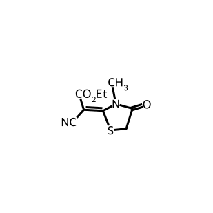 CCOC(=O)C(C#N)=C1SCC(=O)N1C